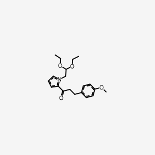 CCOC(Cn1cccc1C(=O)CCc1ccc(OC)cc1)OCC